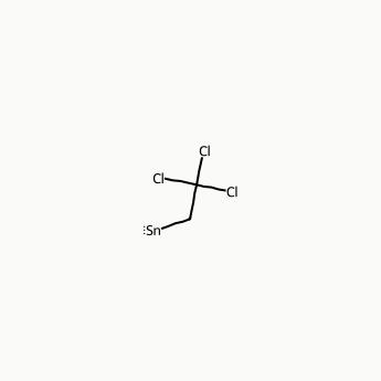 ClC(Cl)(Cl)[CH2][Sn]